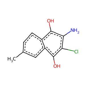 Cc1ccc2c(O)c(N)c(Cl)c(O)c2c1